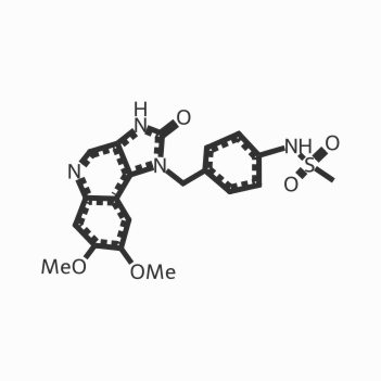 COc1cc2ncc3[nH]c(=O)n(Cc4ccc(NS(C)(=O)=O)cc4)c3c2cc1OC